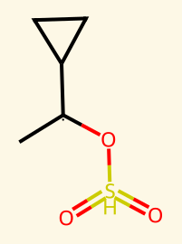 C[C](O[SH](=O)=O)C1CC1